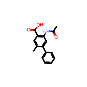 CC(=O)Nc1cc(-c2ccccc2)c(C)cc1C(=O)O